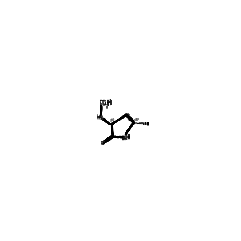 C[C@H]1C[C@H](NC(=O)O)C(=O)N1